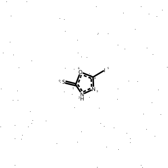 S=c1[nH]nc(I)o1